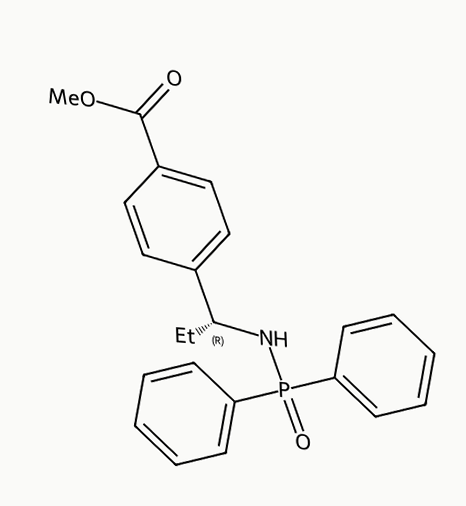 CC[C@@H](NP(=O)(c1ccccc1)c1ccccc1)c1ccc(C(=O)OC)cc1